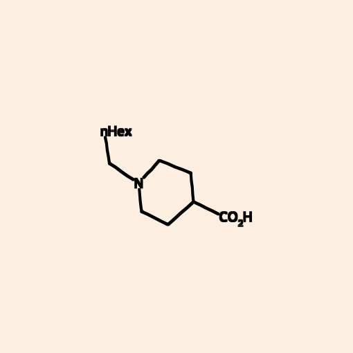 CCCCCCCN1CCC(C(=O)O)CC1